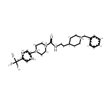 O=C(NCCC1CCN(Cc2ccccc2)CC1)N1CCN(c2cnc(C(F)(F)F)cn2)CC1